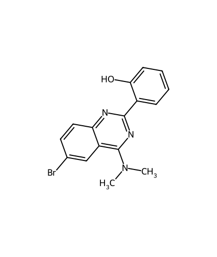 CN(C)c1nc(-c2ccccc2O)nc2ccc(Br)cc12